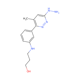 Cc1cc(NN)nnc1-c1cccc(NCCCO)c1